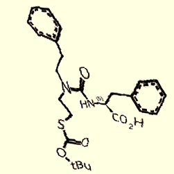 CC(C)(C)OC(=O)SCCN(CCc1ccccc1)C(=O)N[C@@H](Cc1ccccc1)C(=O)O